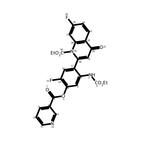 CCOC(=O)Nc1cc(OC(=O)c2cccnc2)c(F)cc1-c1cc(=O)c2ccc(F)cc2n1C(=O)OCC